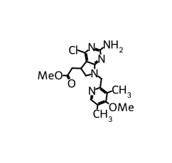 COC(=O)CC1CN(Cc2ncc(C)c(OC)c2C)c2nc(N)nc(Cl)c21